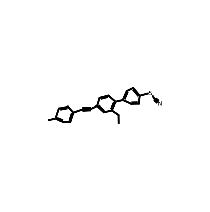 CCc1cc(C#Cc2ccc(C)cc2)ccc1-c1ccc(SC#N)cc1